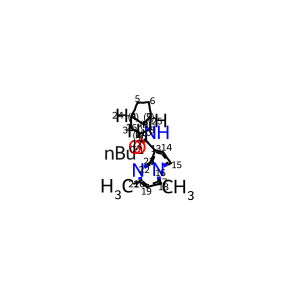 CCCCO[C@H]1C[C@H]2CC[C@@H](C1)[C@H]2NC(=O)c1ccn2c(C)cc(C)nc12